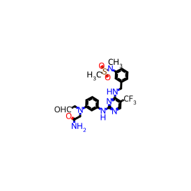 CN(c1cccc(CNc2nc(Nc3cccc(N(CC=O)CC(N)=O)c3)ncc2C(F)(F)F)c1)S(C)(=O)=O